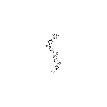 CC(=O)N(CCN1CCN(C(=O)c2ccc(CNC(=O)C(C)(C)C)cc2)CC1)Cc1ccc(C(=O)N2CCN(CC(C)(C)C)CC2)cc1